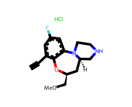 C#Cc1cc(F)cc2c1O[C@H](COC)C[C@@H]1CNCCN21.Cl